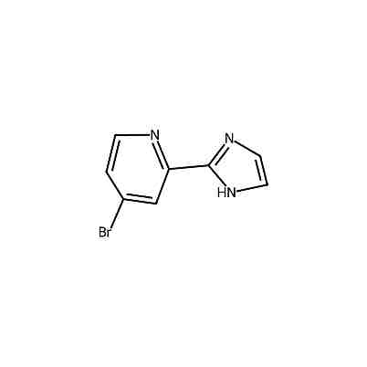 Brc1ccnc(-c2ncc[nH]2)c1